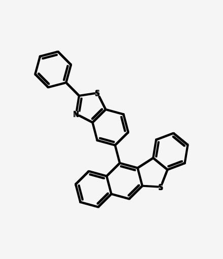 c1ccc(-c2nc3cc(-c4c5ccccc5cc5sc6ccccc6c45)ccc3s2)cc1